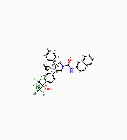 O=C(Nc1ccc2ccccc2c1)N1C[C@@H](c2ccc(C(O)(C(F)(F)F)C(F)(F)F)cc2)[C@](c2ccc(F)cc2)(C2C#C2)C1